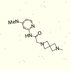 CNc1ccnc(NC(=O)CN2CC3(CN(C)C3)C2)c1